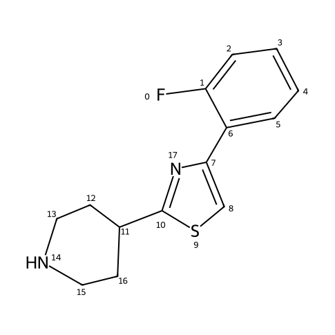 Fc1ccccc1-c1csc(C2CCNCC2)n1